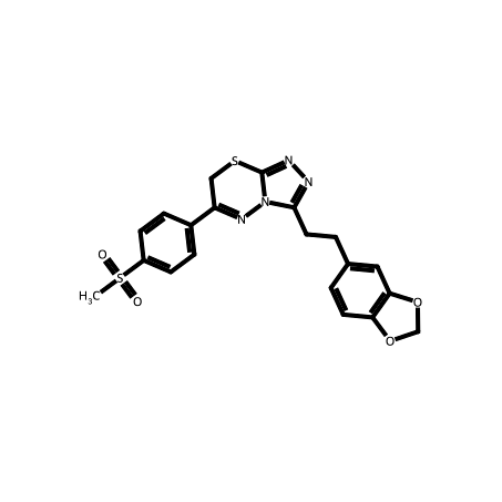 CS(=O)(=O)c1ccc(C2=Nn3c(CCc4ccc5c(c4)OCO5)nnc3SC2)cc1